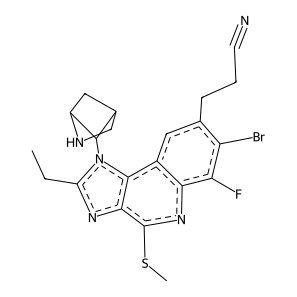 CCc1nc2c(SC)nc3c(F)c(Br)c(CCC#N)cc3c2n1C1C2CNC1C2